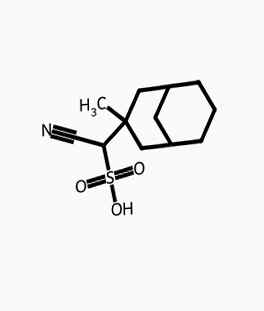 CC1(C(C#N)S(=O)(=O)O)CC2CCCC(C2)C1